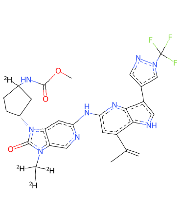 [2H]C1(NC(=O)OC)CC[C@@H](n2c(=O)n(C([2H])([2H])[2H])c3cnc(Nc4cc(C(=C)C)c5[nH]cc(-c6cnn(C(F)(F)F)c6)c5n4)cc32)C1